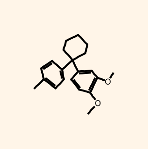 COc1ccc(C2(c3ccc(C)cc3)CCCCC2)cc1OC